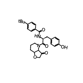 CC(C)(C)c1ccc(C(=O)N[C@@H](Cc2ccc(O)cc2)C(=O)N2CCCC3OCC(=O)C32)cc1